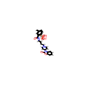 Cc1ccc2c(c1)C(=O)N(CCCCN1CCC(n3c(=O)oc4ccccc43)CC1)S2(O)O